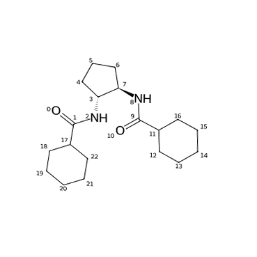 O=C(N[C@@H]1CCC[C@H]1NC(=O)C1CCCCC1)C1CCCCC1